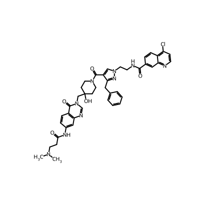 CN(C)CCC(=O)Nc1ccc2c(=O)n(CC3(O)CCN(C(=O)c4cn(CCNC(=O)c5ccc6c(Cl)ccnc6c5)nc4Cc4ccccc4)CC3)cnc2c1